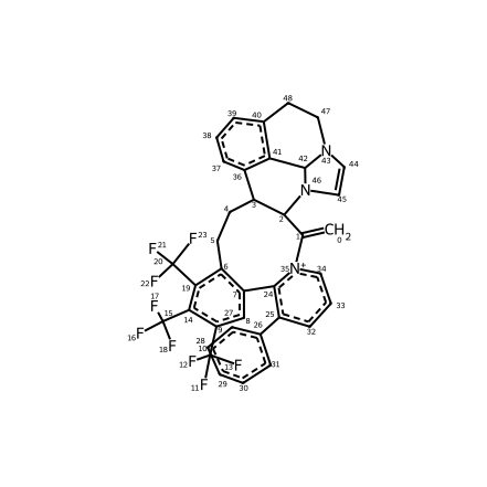 C=C1C2C(CCc3c(cc(C(F)(F)F)c(C(F)(F)F)c3C(F)(F)F)-c3c(-c4ccccc4)ccc[n+]31)c1cccc3c1C1N(C=CN21)CC3